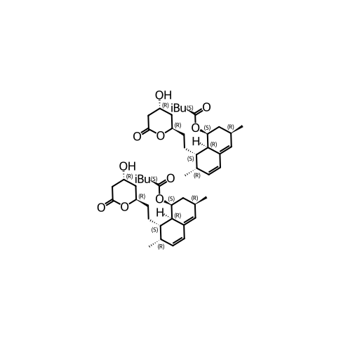 CC[C@H](C)C(=O)O[C@H]1C[C@@H](C)C=C2C=C[C@H](C)[C@H](CC[C@@H]3C[C@@H](O)CC(=O)O3)[C@H]21.CC[C@H](C)C(=O)O[C@H]1C[C@@H](C)C=C2C=C[C@H](C)[C@H](CC[C@@H]3C[C@@H](O)CC(=O)O3)[C@H]21